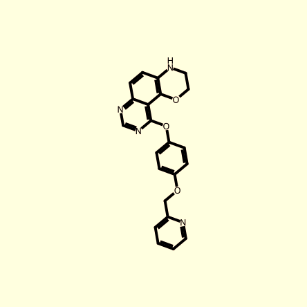 c1ccc(COc2ccc(Oc3ncnc4ccc5c(c34)OCCN5)cc2)nc1